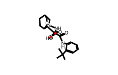 CC(C)(C)c1ccccc1NC(=O)C(=O)NN1CC2CCC(C(=O)O)C1CC2